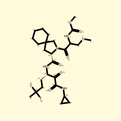 COCC(NC(=O)OC)C(=O)N1CC2(CCCCC2)C[C@H]1C(=O)N[C@@H](CCC(C)(F)F)C(=O)C(=O)NC1CC1